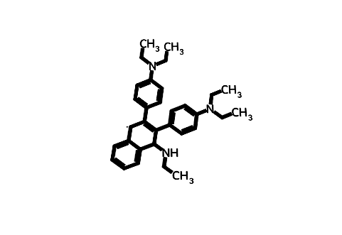 CCNC1C(c2ccc(N(CC)CC)cc2)=C(c2ccc(N(CC)CC)cc2)[CH]c2ccccc21